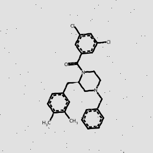 Cc1ccc(C[C@@H]2CN(Cc3ccccc3)CCN2C(=O)c2cc(Cl)cc(Cl)c2)cc1C